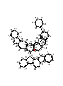 CC1C(n2c3ccccc3c3ccc4c(c32)C(c2cccc(-c3ccccc3)c2)c2ccccc2-4)=CC(c2ccc3sc4ccccc4c3c2)=CC1c1cccc(-c2ccccc2)c1